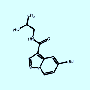 CC(O)CNC(=O)c1cnn2ccc(C(C)(C)C)cc12